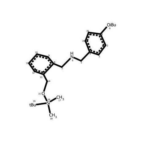 CC(C)COc1ccc(CNCc2ccccc2CO[Si](C)(C)C(C)(C)C)cc1